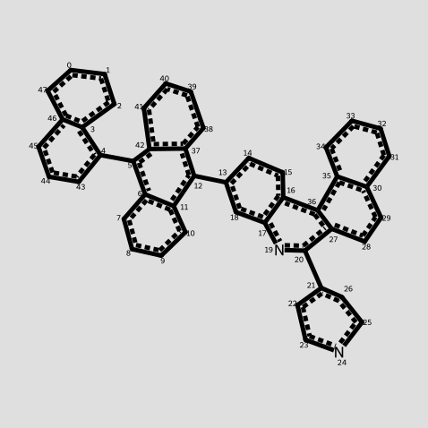 c1ccc2c(-c3c4ccccc4c(-c4ccc5c(c4)nc(-c4ccncc4)c4ccc6ccccc6c45)c4ccccc34)cccc2c1